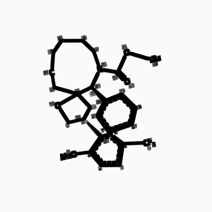 COc1ccc(C(F)(F)F)nc1[C@@H]1COC2(CCCCCCN(C(=O)OC(C)(C)C)[C@H]2c2ccccc2)C1